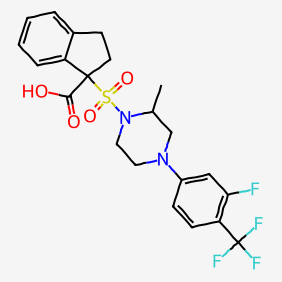 CC1CN(c2ccc(C(F)(F)F)c(F)c2)CCN1S(=O)(=O)C1(C(=O)O)CCc2ccccc21